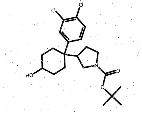 CC(C)(C)OC(=O)N1CCC(C2(c3ccc(Cl)c(Cl)c3)CCC(O)CC2)C1